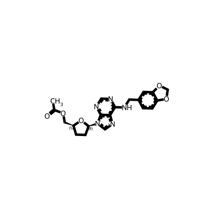 CC(=O)OC[C@@H]1CC[C@H](n2cnc3c(NCc4ccc5c(c4)OCO5)ncnc32)O1